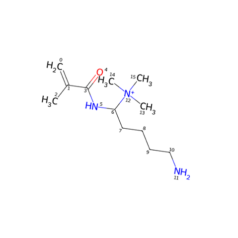 C=C(C)C(=O)NC(CCCCN)[N+](C)(C)C